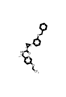 C[C@H](NC(=O)[C@H]1C[C@@H]1c1cccc(OCc2ccccc2)c1)c1ccc(OCC(F)(F)F)cn1